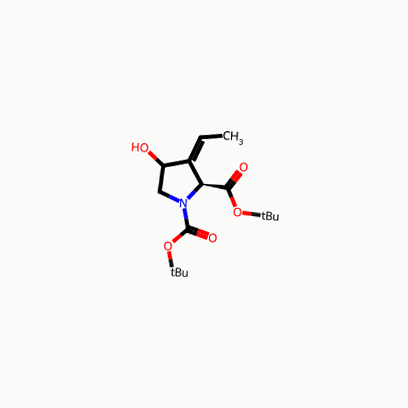 C/C=C1/C(O)CN(C(=O)OC(C)(C)C)[C@@H]1C(=O)OC(C)(C)C